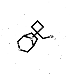 NCC1(N2C3CCC2COC3)CCC1